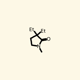 CCC1(CC)CCN(C)C1=O